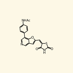 CC(=O)Nc1ccc(-c2cncc3cc(C=C4SC(=O)NC4=O)oc23)cc1